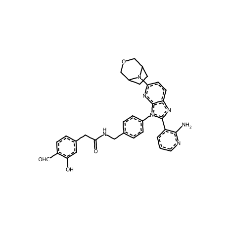 Nc1ncccc1-c1nc2ccc(N3C4CCC3COC4)nc2n1-c1ccc(CNC(=O)Cc2ccc(C=O)c(O)c2)cc1